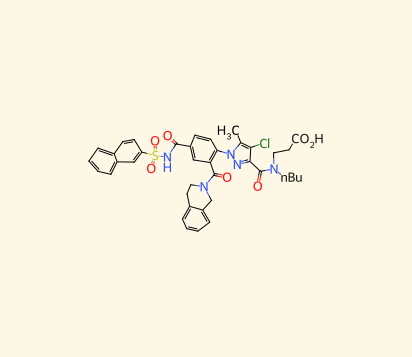 CCCCN(CCC(=O)O)C(=O)c1nn(-c2ccc(C(=O)NS(=O)(=O)c3ccc4ccccc4c3)cc2C(=O)N2CCc3ccccc3C2)c(C)c1Cl